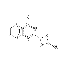 CC1OC(c2nc3c(c(=O)[nH]2)C2CCC3CC2)O1